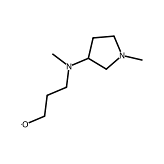 CN1CCC(N(C)CCC[O])C1